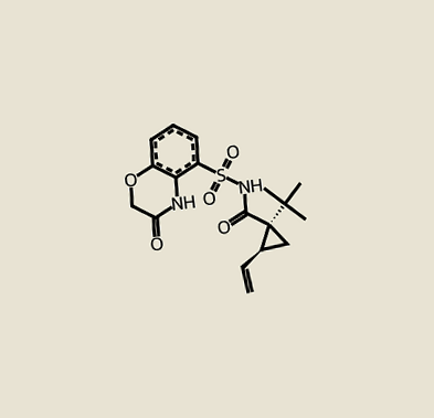 C=C[C@@H]1C[C@@]1(C(=O)NS(=O)(=O)c1cccc2c1NC(=O)CO2)C(C)(C)C